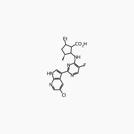 CCC1C[C@H](C)C(Nc2nc(-c3c[nH]c4ncc(Cl)cc34)ncc2F)C1C(=O)O